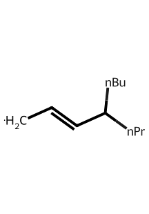 [CH2]C=CC(CCC)CCC[CH2]